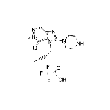 CC#CCn1c(N2CCNCC2)nc2cnn(C)c(=O)c21.O=C(O)C(F)(F)F